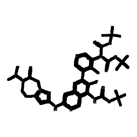 Cc1c(-c2cc3cc(Nc4cc5n(n4)CC(=O)N(C(C)C)CC5)ncc3c(NC(=O)OC(C)(C)C)c2F)cncc1N(C(=O)OC(C)(C)C)C(=O)OC(C)(C)C